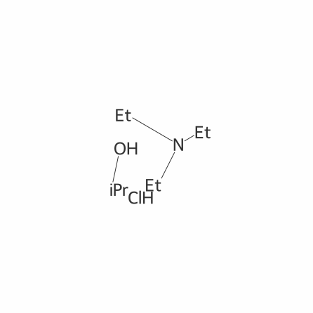 CC(C)O.CCN(CC)CC.Cl